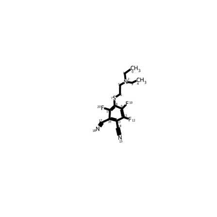 CCN(CC)CCSc1c(F)c(F)c(C#N)c(C#N)c1F